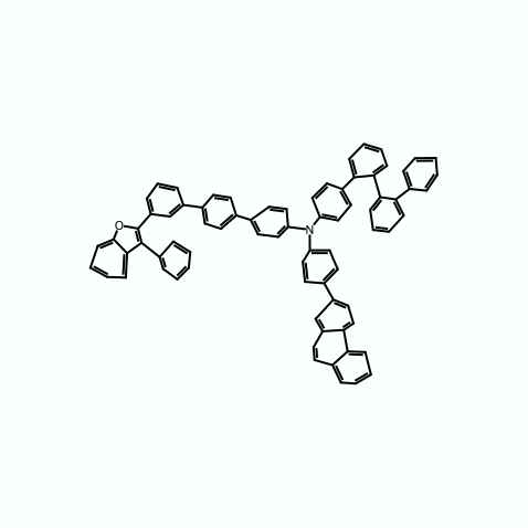 c1ccc(-c2ccccc2-c2ccccc2-c2ccc(N(c3ccc(-c4ccc(-c5cccc(-c6oc7ccccc7c6-c6ccccc6)c5)cc4)cc3)c3ccc(-c4ccc5c(ccc6ccccc65)c4)cc3)cc2)cc1